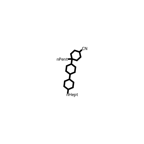 CCCCCCCC1CCC(C2CCC(C3(CCCCC)CCC(C#N)CC3)CC2)CC1